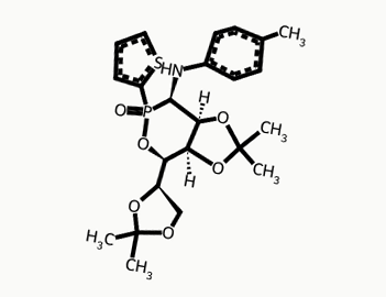 Cc1ccc(N[C@H]2[C@H]3OC(C)(C)O[C@H]3[C@@H]([C@H]3COC(C)(C)O3)OP2(=O)c2cccs2)cc1